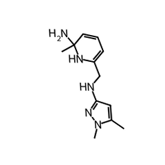 Cc1cc(NCC2=CC=CC(C)(N)N2)nn1C